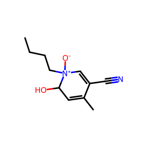 CCCC[N+]1([O-])C=C(C#N)C(C)=CC1O